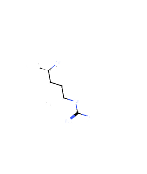 N=C(N)NCCC[C@H](N)C(=O)[O-].[Ag+]